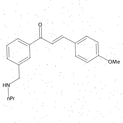 CCCNCc1cccc(C(=O)C=Cc2ccc(OC)cc2)c1